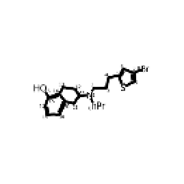 CCCN(CCCc1cc(Br)cs1)C1CCc2c(O)cccc2C1